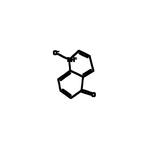 O=C1C=CC=C2C1=CC=C[NH+]2[O-]